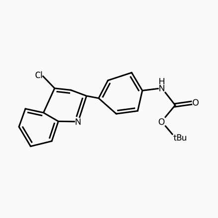 CC(C)(C)OC(=O)Nc1ccc(-c2cc(Cl)c3ccccc3n2)cc1